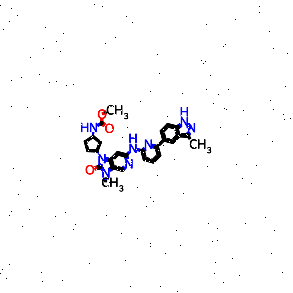 COC(=O)N[C@@H]1CC[C@@H](n2c(=O)n(C)c3cnc(Nc4cccc(-c5ccc6[nH]nc(C)c6c5)n4)cc32)C1